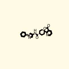 O=C1O[C@]2(CC[C@@H](C(=O)Nc3cnn(-c4ccccc4)c3)CC2)c2ncccc21